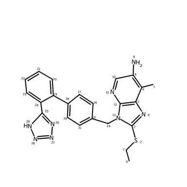 CCSc1nc2c(C)c(N)cnc2n1Cc1ccc(-c2ccccc2-c2nnn[nH]2)cc1